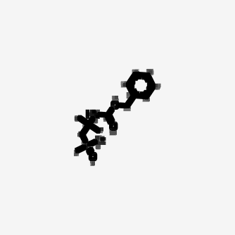 CCP(C)(=O)CC(C)(C)NC(=O)OCc1ccccc1